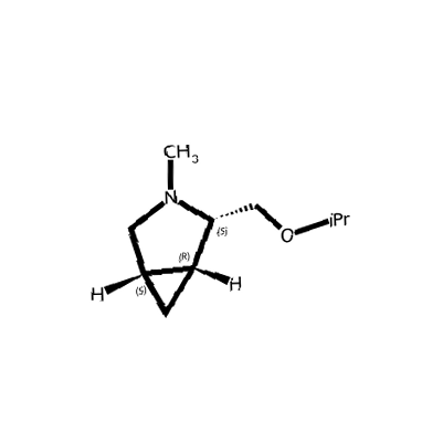 CC(C)OC[C@@H]1[C@@H]2C[C@@H]2CN1C